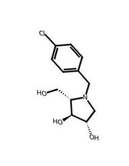 OC[C@H]1[C@H](O)[C@@H](O)CN1Cc1ccc(Cl)cc1